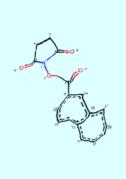 O=C(ON1C(=O)CCC1=O)c1ccc2ccccc2c1